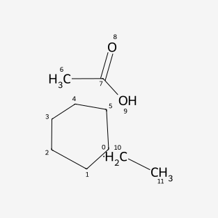 C1CCCCC1.CC(=O)O.[CH2]C